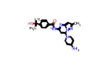 Cc1cc2nc(NC(=O)c3ccc(C(C)(C)O)cc3)cc(N3CCC(N)CC3)n2n1